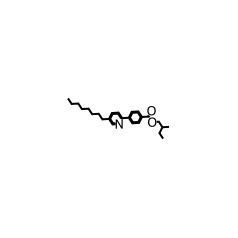 CCCCCCCCc1ccc(-c2ccc(C(=O)OCC(C)CC)cc2)nc1